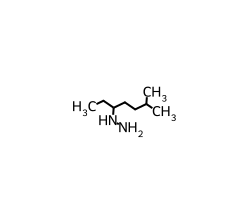 CCC(CCC(C)C)NN